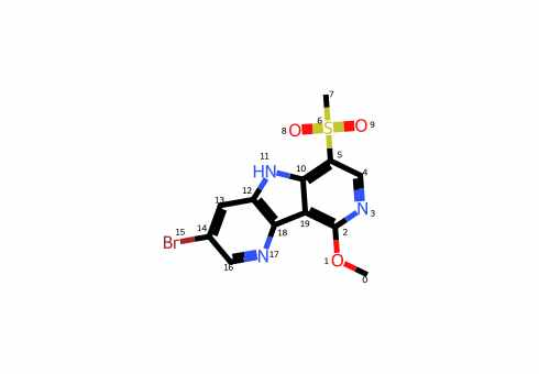 COc1ncc(S(C)(=O)=O)c2[nH]c3cc(Br)cnc3c12